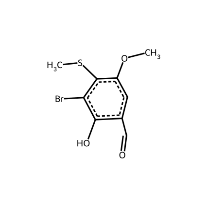 COc1cc(C=O)c(O)c(Br)c1SC